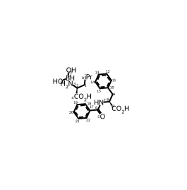 CC(C)C[C@H](N)C(=O)O.O=C(N[C@@H](Cc1ccccc1)C(=O)O)c1ccccc1.OBO